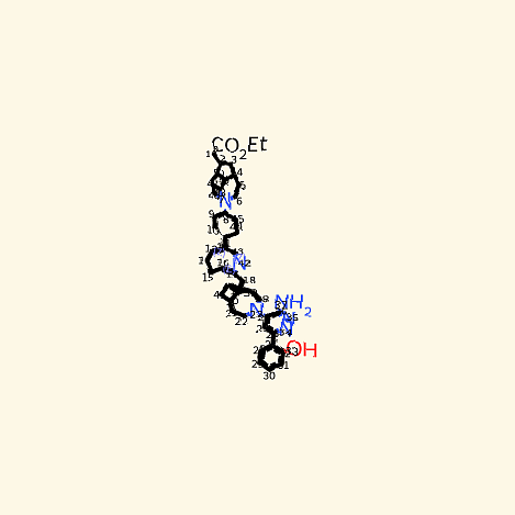 CCOC(=O)CC1CC2CCN([C@H]3CC[C@@H](C4=C/CC/C=C(CC56C7CCN(c8cc(-c9ccccc9O)nnc8N)CC5C6C7)/N=C\4)CC3)CC3CC2C13